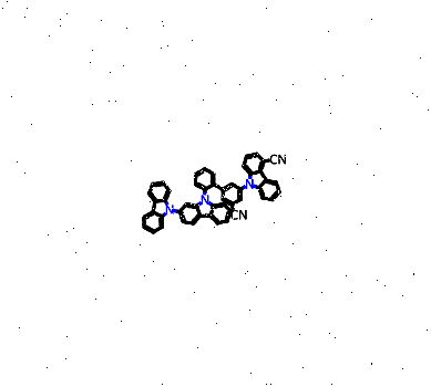 N#Cc1cc(-c2ccccc2-n2c3ccccc3c3ccc(-n4c5ccccc5c5ccccc54)cc32)cc(-n2c3ccccc3c3c(C#N)cccc32)c1